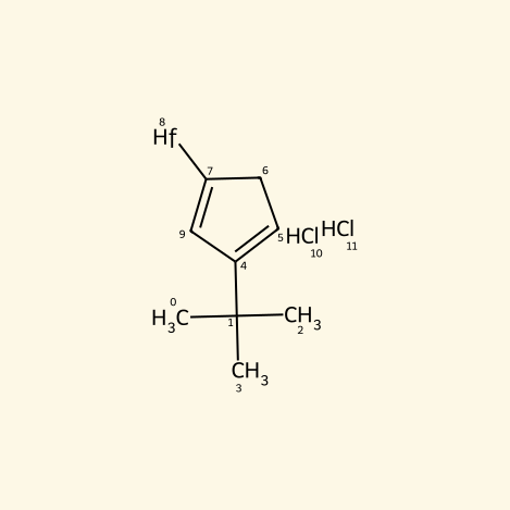 CC(C)(C)C1=CC[C]([Hf])=C1.Cl.Cl